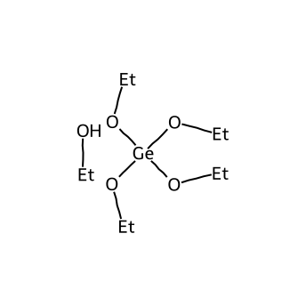 CCO.CC[O][Ge]([O]CC)([O]CC)[O]CC